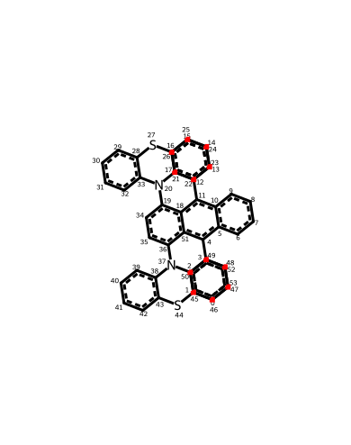 c1ccc(-c2c3ccccc3c(-c3ccccc3)c3c(N4c5ccccc5Sc5ccccc54)ccc(N4c5ccccc5Sc5ccccc54)c23)cc1